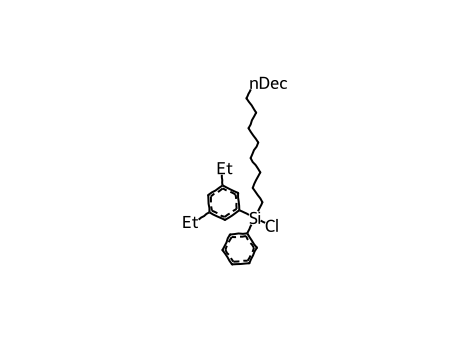 CCCCCCCCCCCCCCCCCC[Si](Cl)(c1ccccc1)c1cc(CC)cc(CC)c1